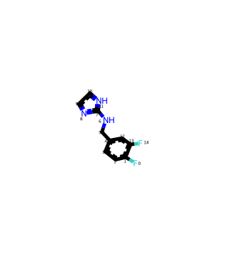 Fc1ccc(CNc2ncc[nH]2)cc1F